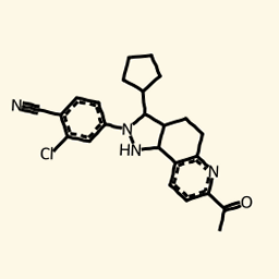 CC(=O)c1ccc2c(n1)CCC1C2NN(c2ccc(C#N)c(Cl)c2)C1C1CCCC1